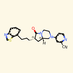 N#Cc1cc(N2CCN3C(=O)[C@@H](CCCc4cccc5ncsc45)C[C@H]3C2)ccn1